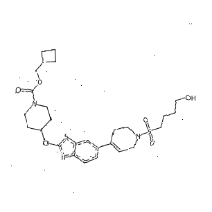 O=C(OCC1CCC1)N1CCC(Oc2nc3ccc(C4=CCN(S(=O)(=O)CCCCO)CC4)cc3s2)CC1